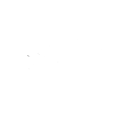 Cc1cc(C(/C=C/c2ccc(C(=O)N[C@H](C)C(=O)NCC(F)(F)F)c(Br)c2)C(F)(F)F)cc(C)c1F